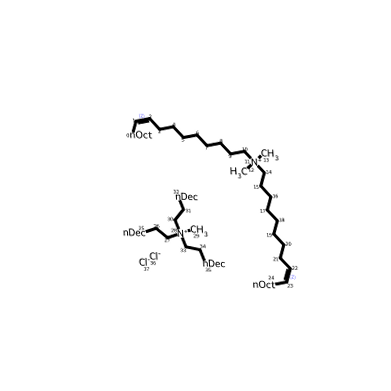 CCCCCCCC/C=C\CCCCCCCC[N+](C)(C)CCCCCCCC/C=C\CCCCCCCC.CCCCCCCCCCCC[N+](C)(CCCCCCCCCCCC)CCCCCCCCCCCC.[Cl-].[Cl-]